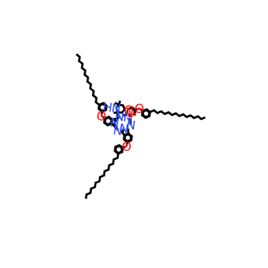 CCCCCCCCCCCCCCCc1cccc(Oc2ccc3c(c2)-c2nc-3nc3c4cc(Oc5cccc(CCCCCCCCCCCCCCC)c5)ccc4c(nc4c5cc(Oc6cccc(CCCCCCCCCCCCCCC)c6)ccc5c(n2)n4C)n3B(C)OC2CC(C)(C)NC(C)(C)C2)c1